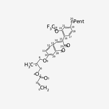 C=CC(=O)OCC(C)COc1ccc2cc(-c3ccc(CCCCC)cc3OC(F)(F)F)c(=O)oc2c1